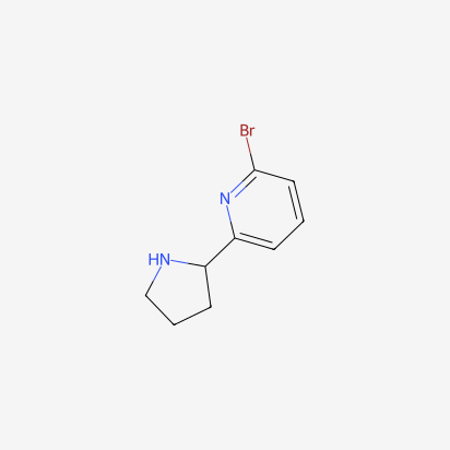 Brc1cccc(C2CCCN2)n1